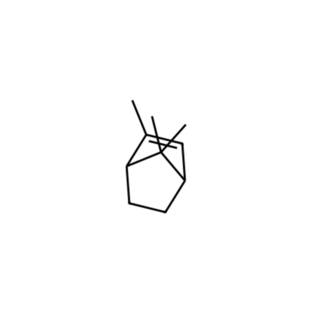 CC1=CC2CCC1C2(C)C